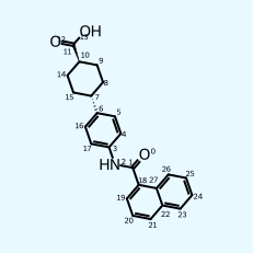 O=C(Nc1ccc([C@H]2CC[C@H](C(=O)O)CC2)cc1)c1cccc2ccccc12